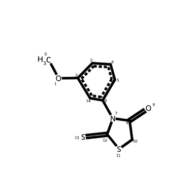 COc1cccc(N2C(=O)CSC2=S)c1